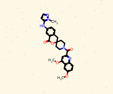 COc1ccc2nc(C(=O)N3CCC4(CC3)Cc3ccc(Nc5ccnn5C)cc3C(=O)O4)cc(OC)c2c1